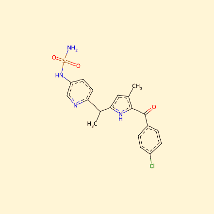 Cc1cc(C(C)c2ccc(NS(N)(=O)=O)cn2)[nH]c1C(=O)c1ccc(Cl)cc1